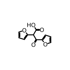 O=C(O)C(C(=O)c1ccco1)c1ccco1